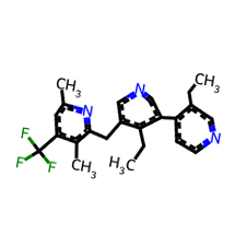 CCc1cnccc1-c1cncc(Cc2nc(C)cc(C(F)(F)F)c2C)c1CC